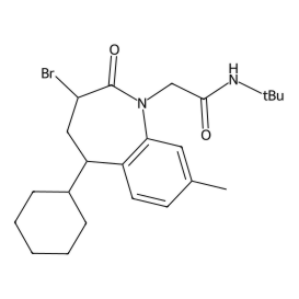 Cc1ccc2c(c1)N(CC(=O)NC(C)(C)C)C(=O)C(Br)CC2C1CCCCC1